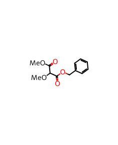 COC(=O)C(OC)C(=O)OCc1ccccc1